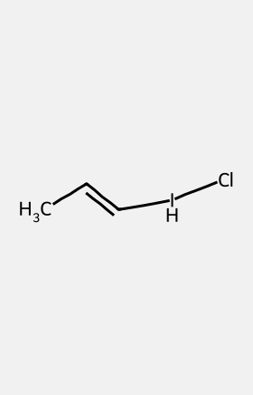 CC=C[IH]Cl